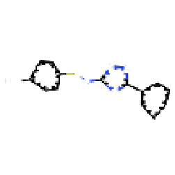 Cc1ccc(SNc2nnc(-c3ccccc3)[nH]2)cc1